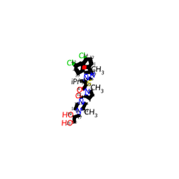 CC(C)C1=C(C(=O)N2[C@H](C)CC[C@H]2C(=O)N2CCN(C[C@H](O)CO)[C@H](C)C2)SC2=N[C@@](C)(c3ccc(Cl)cc3)[C@@H](c3ccc(Cl)cc3)N21